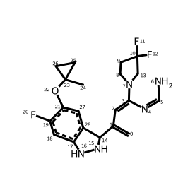 C=C(/C=C(\N=C/N)N1CCC(F)(F)C1)C1NNc2cc(F)c(OC3(C)CC3)cc21